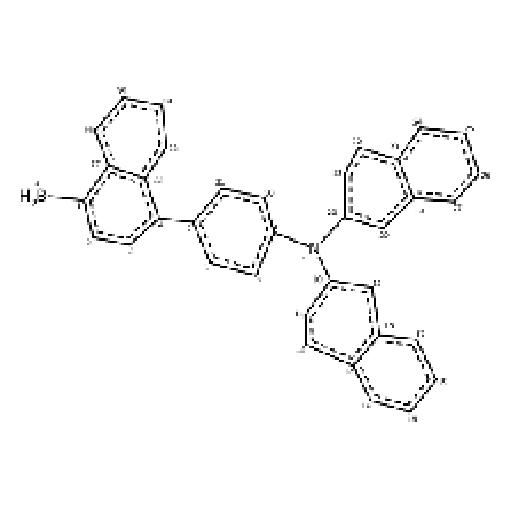 Bc1ccc(-c2ccc(N(c3ccc4ccccc4c3)c3ccc4ccccc4c3)cc2)c2ccccc12